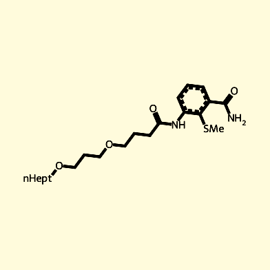 CCCCCCCOCCCOCCCC(=O)Nc1cccc(C(N)=O)c1SC